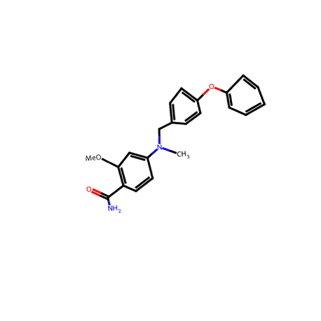 COc1cc(N(C)Cc2ccc(Oc3ccccc3)cc2)ccc1C(N)=O